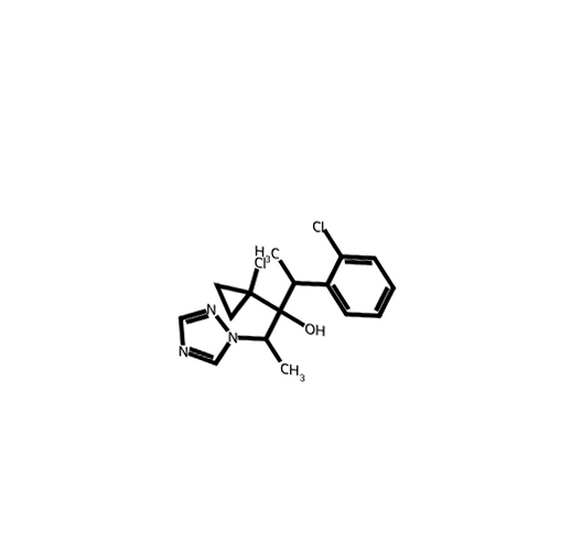 CC(c1ccccc1Cl)C(O)(C(C)n1cncn1)C1(Cl)CC1